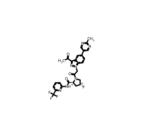 CC(=O)c1nn(CC(=O)N2C[C@H](F)C[C@H]2C(=O)Nc2cccc(C(F)(F)F)n2)c2ccc(-c3cnc(C)nc3)cc12